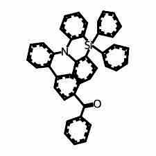 O=C(c1ccccc1)c1ccc(-c2ccccc2N2c3ccccc3[Si](c3ccccc3)(c3ccccc3)c3ccccc32)cc1